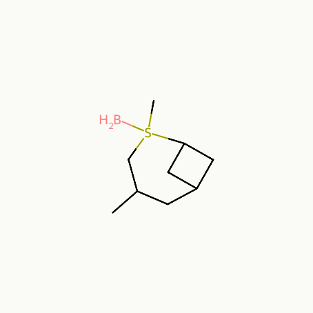 BS1(C)CC(C)CC2CC1C2